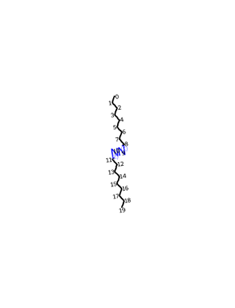 CCCCCCCC/C=N\N=C/CCCCCCCC